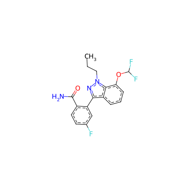 CCCn1nc(-c2cc(F)ccc2C(N)=O)c2cccc(OC(F)F)c21